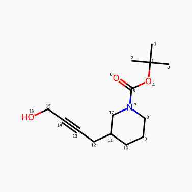 CC(C)(C)OC(=O)N1CCCC(CC#CCO)C1